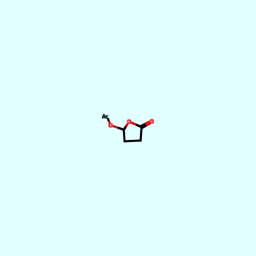 CC(=O)OC1CCC(=O)O1